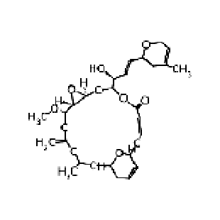 C=C1C[C@H](C)C[C@@H]2CC=C[C@@H](C/C=C\C(=O)O[C@H]([C@@H](O)/C=C/[C@@H]3CC(C)=CCO3)C[C@@H]3O[C@H]3[C@@H](OC)C1)O2